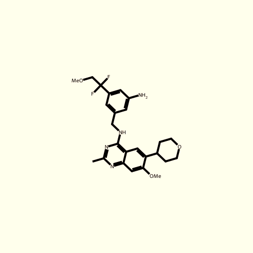 COCC(F)(F)c1cc(N)cc(CNc2nc(C)nc3cc(OC)c(C4CCOCC4)cc23)c1